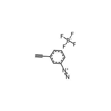 C#Cc1cccc([N+]#N)c1.F[B-](F)(F)F